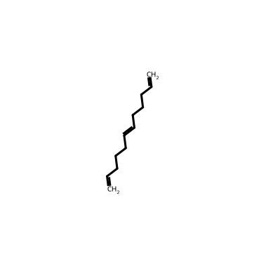 C=CCCC/C=C/CCCC=C